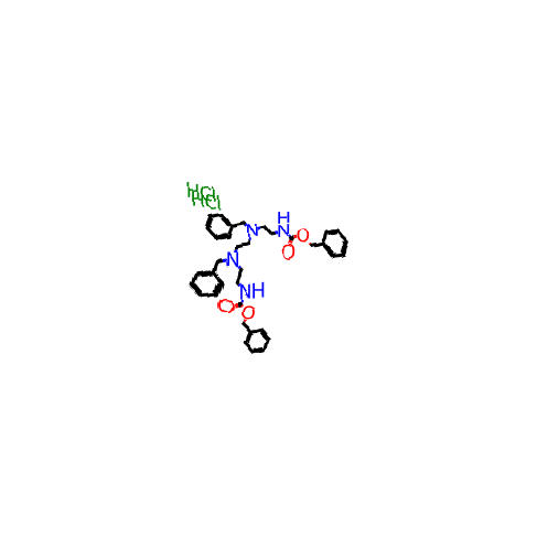 Cl.Cl.O=C(NCCN(CCN(CCNC(=O)OCc1ccccc1)Cc1ccccc1)Cc1ccccc1)OCc1ccccc1